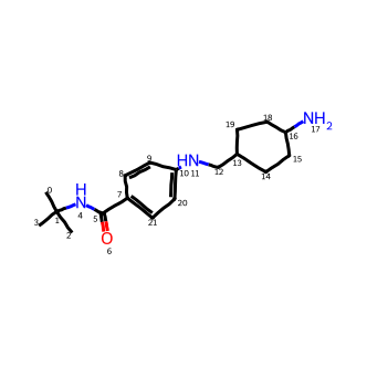 CC(C)(C)NC(=O)c1ccc(NCC2CCC(N)CC2)cc1